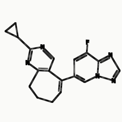 Fc1cc(C2=CCCCc3nc(C4CC4)ncc32)cn2ncnc12